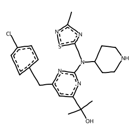 Cc1nsc(N(c2nc(Cc3ccc(Cl)cc3)cc(C(C)(C)O)n2)C2CCNCC2)n1